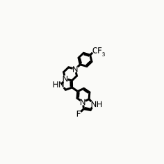 FC1=CNC2C=CC(C3=C4CN(c5ccc(C(F)(F)F)cc5)CCN4NC3)=CN12